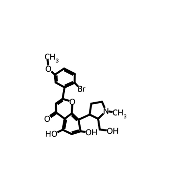 COc1ccc(Br)c(-c2cc(=O)c3c(O)cc(O)c(C4CCN(C)C4CO)c3o2)c1